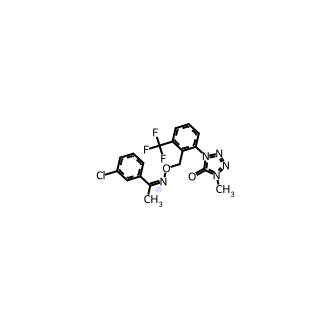 C/C(=N/OCc1c(-n2nnn(C)c2=O)cccc1C(F)(F)F)c1cccc(Cl)c1